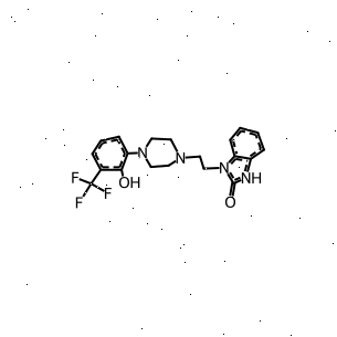 O=c1[nH]c2ccccc2n1CCN1CCN(c2cccc(C(F)(F)F)c2O)CC1